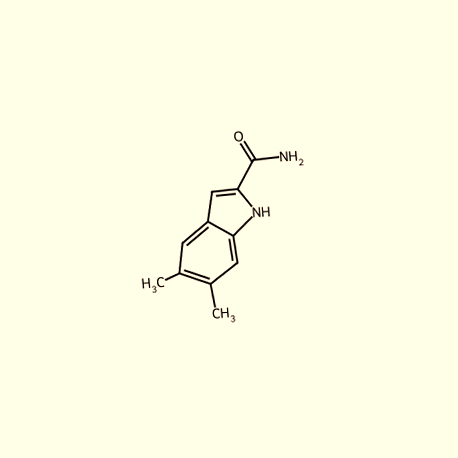 Cc1cc2cc(C(N)=O)[nH]c2cc1C